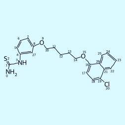 NC(=S)Nc1cccc(OCCCCCOc2ccc(Cl)c3ccccc23)c1